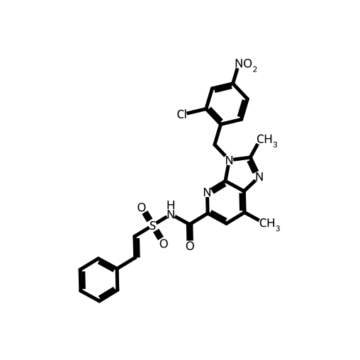 Cc1cc(C(=O)NS(=O)(=O)C=Cc2ccccc2)nc2c1nc(C)n2Cc1ccc([N+](=O)[O-])cc1Cl